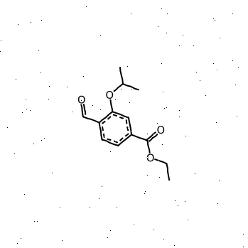 CCOC(=O)c1ccc(C=O)c(OC(C)C)c1